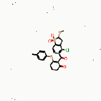 CSC1Cc2c(ccc(C(=O)C3=C(Sc4ccc(C)cc4)CCCC3=O)c2Cl)S1(=O)=O